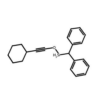 C(#CC1CCCCC1)O[SiH2]C(c1ccccc1)c1ccccc1